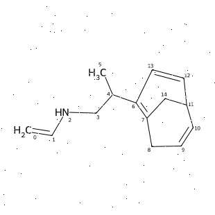 C=CNCC(C)C1=C2CC=CC(C=C1)C2